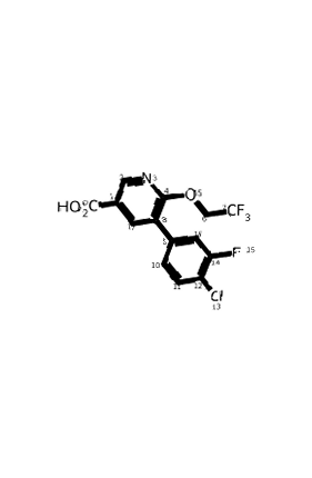 O=C(O)c1cnc(OCC(F)(F)F)c(-c2ccc(Cl)c(F)c2)c1